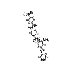 CCN(CC)c1ccc(NNc2ccc(C(=O)Oc3ccc(N=Nc4ccncc4)cc3C)cc2)cc1